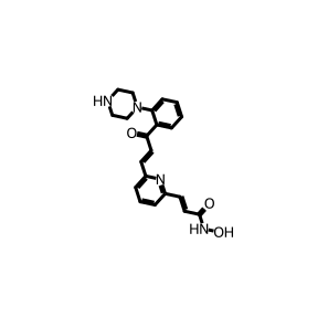 O=C(C=Cc1cccc(C=CC(=O)c2ccccc2N2CCNCC2)n1)NO